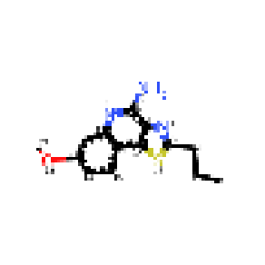 CCCc1nc2c(N)nc3cc(OC)ccc3c2s1